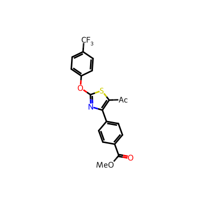 COC(=O)c1ccc(-c2nc(Oc3ccc(C(F)(F)F)cc3)sc2C(C)=O)cc1